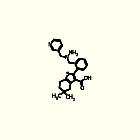 CC1(C)CCc2sc(-c3ccccc3CN(N)Cc3cccnc3)c(C(=O)O)c2C1